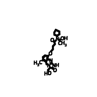 Cc1ccc(OCCCCC(=O)N(C(C)O)C2CCCCC2)c2c1CN1C(=N2)NC(=O)C1CO